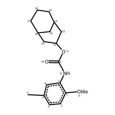 COc1ccc(C)cc1NC(=O)OC1CC2CCCC(C2)C1